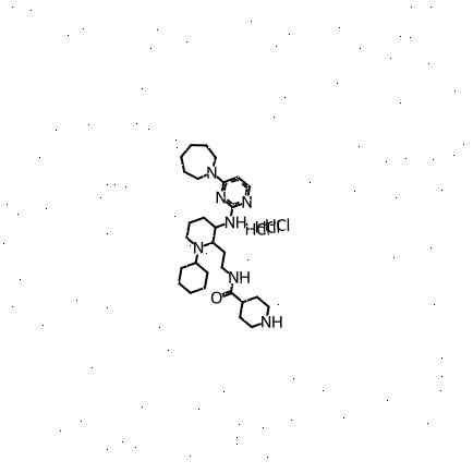 Cl.Cl.Cl.O=C(NCCC1C(Nc2nccc(N3CCCCCC3)n2)CCCN1C1CCCCC1)C1CCNCC1